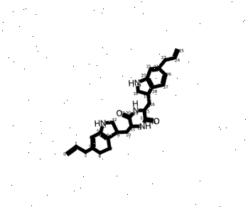 C=CCC1=CC2=C(CC1)C(CC1NC(=O)C(CC3CNc4cc(CC=C)ccc43)NC1=O)CN2